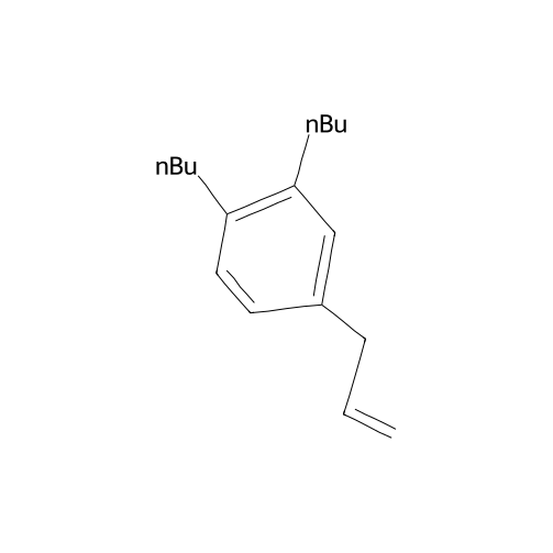 C=CCc1ccc(CCCC)c(CCCC)c1